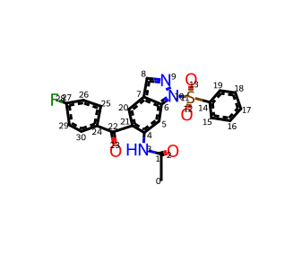 CC(=O)Nc1cc2c(cnn2S(=O)(=O)c2ccccc2)cc1C(=O)c1ccc(F)cc1